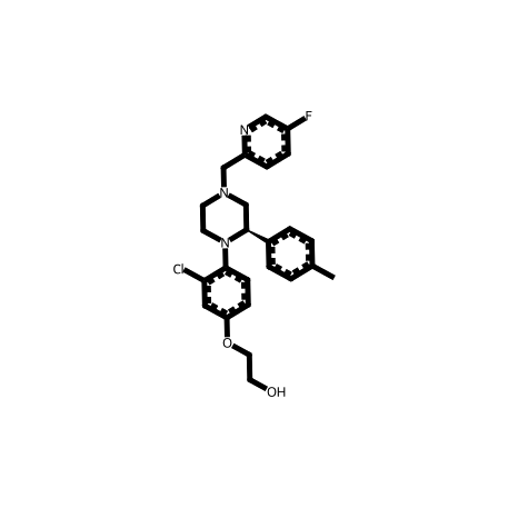 Cc1ccc([C@@H]2CN(Cc3ccc(F)cn3)CCN2c2ccc(OCCO)cc2Cl)cc1